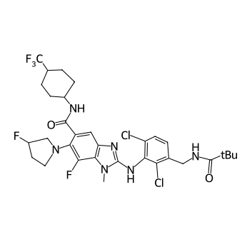 Cn1c(Nc2c(Cl)ccc(CNC(=O)C(C)(C)C)c2Cl)nc2cc(C(=O)NC3CCC(C(F)(F)F)CC3)c(N3CCC(F)C3)c(F)c21